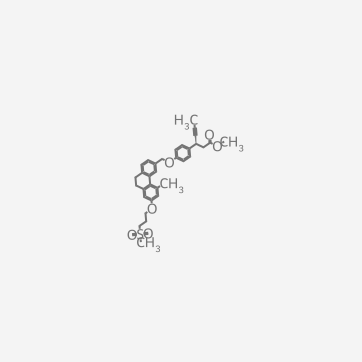 CC#C[C@@H](CC(=O)OC)c1ccc(OCc2ccc3c(c2)-c2c(C)cc(OCCCS(C)(=O)=O)cc2CC3)cc1